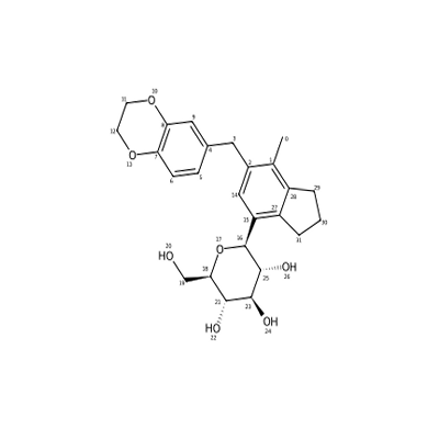 Cc1c(Cc2ccc3c(c2)OCCO3)cc([C@@H]2O[C@H](CO)[C@@H](O)[C@H](O)[C@H]2O)c2c1CCC2